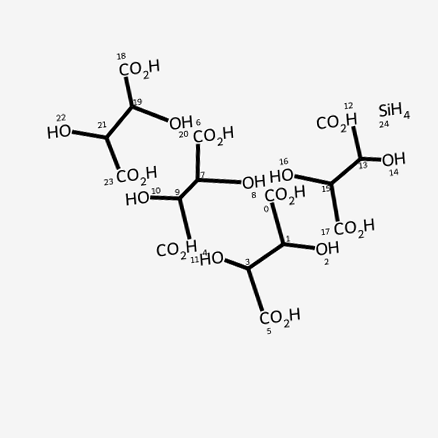 O=C(O)C(O)C(O)C(=O)O.O=C(O)C(O)C(O)C(=O)O.O=C(O)C(O)C(O)C(=O)O.O=C(O)C(O)C(O)C(=O)O.[SiH4]